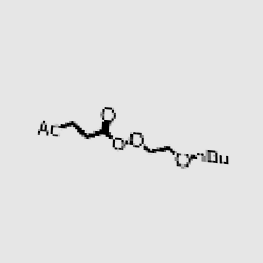 CCCCOCCOOC(=O)CCC(C)=O